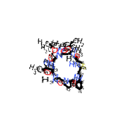 C=CC(C)(C)OC[C@H]1NC(=O)[C@H]([C@@H](C)OC(C)(C)C=C)NC(=O)[C@]2(C)CSC(N2)[C@@H](Cc2ccccc2)NC(=O)[C@@H]2CCCN2C(=O)[C@H](C)NC(=O)[C@H]([C@@H](C)CC)NC1=O